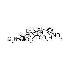 CCC1(/N=C/c2ccc([N+](=O)[O-])s2)SC(CC)(/N=C/c2ccc([N+](=O)[O-])s2)C(C(=O)O)=C1C(=O)O